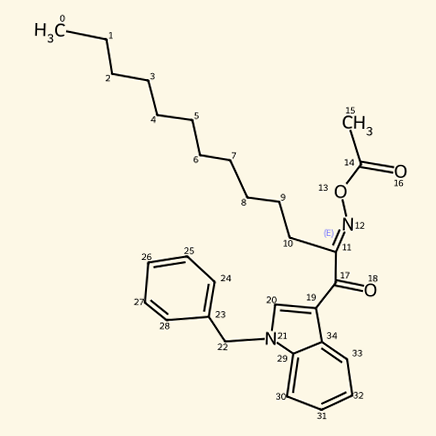 CCCCCCCCCCC/C(=N\OC(C)=O)C(=O)c1cn(Cc2ccccc2)c2ccccc12